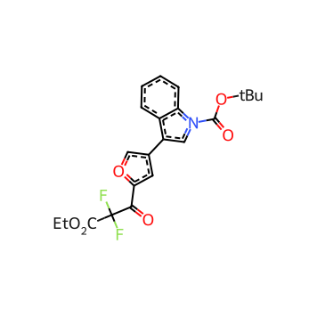 CCOC(=O)C(F)(F)C(=O)c1cc(-c2cn(C(=O)OC(C)(C)C)c3ccccc23)co1